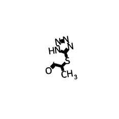 CC([C]=O)Sc1nnn[nH]1